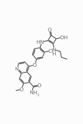 CCCNC1=C(Nc2ccc(Oc3ccnc4cc(OC)c(C(N)=O)cc34)cc2Cl)C(=O)C1O